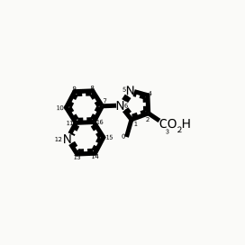 Cc1c(C(=O)O)cnn1-c1cccc2ncccc12